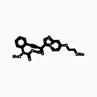 COCCOc1ccn2c(C(=O)C#Cc3ccccc3N(OC)C(=O)OC(C)(C)C)cnc2c1